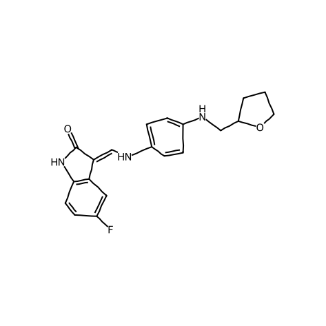 O=C1Nc2ccc(F)cc2/C1=C\Nc1ccc(NCC2CCCO2)cc1